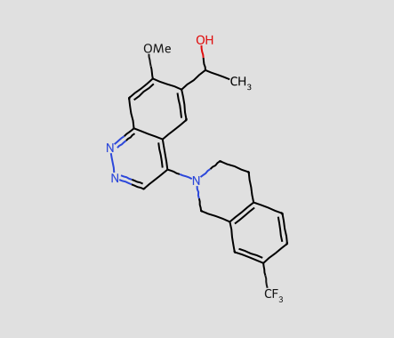 COc1cc2nncc(N3CCc4ccc(C(F)(F)F)cc4C3)c2cc1C(C)O